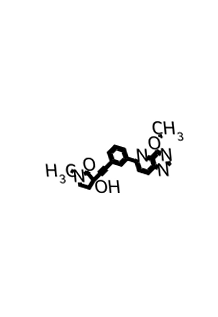 CCOc1ncnc2ccc(-c3cccc(C#C[C@]4(O)CCN(C)C4=O)c3)nc12